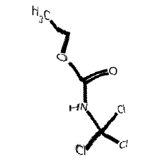 CCOC(=O)NC(Cl)(Cl)Cl